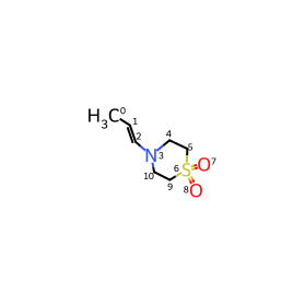 C/C=C/N1CCS(=O)(=O)CC1